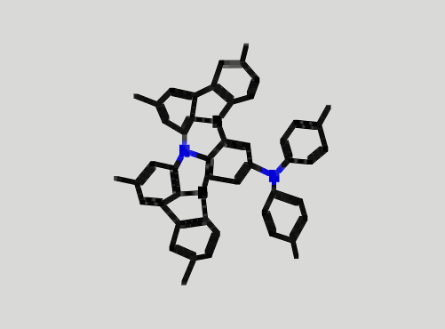 Cc1ccc(N(c2ccc(C)cc2)c2cc3c4c(c2)B2c5ccc(C)cc5-c5cc(C)cc(c52)N4c2cc(C)cc4c2B3c2ccc(C)cc2-4)cc1